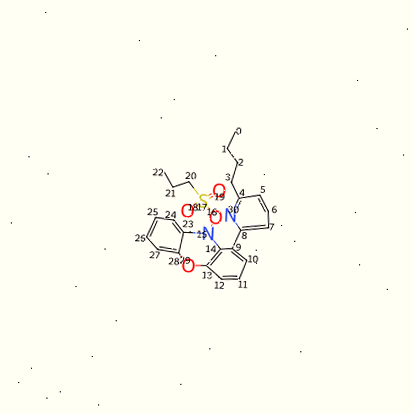 CCCCc1cccc(-c2cccc3c2N(OS(=O)(=O)CCC)c2ccccc2O3)n1